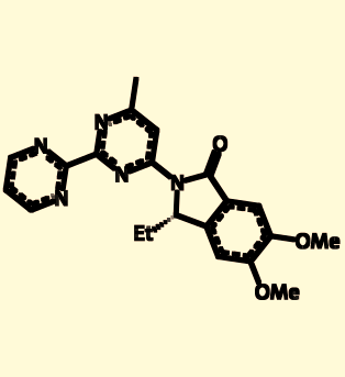 CC[C@H]1c2cc(OC)c(OC)cc2C(=O)N1c1cc(C)nc(-c2ncccn2)n1